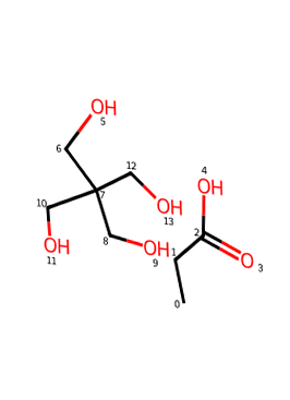 CCC(=O)O.OCC(CO)(CO)CO